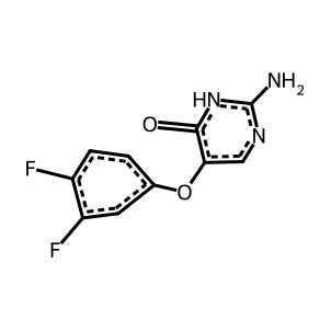 Nc1ncc(Oc2ccc(F)c(F)c2)c(=O)[nH]1